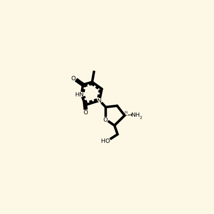 Cc1cn(C2C[C@H](N)C(CO)O2)c(=O)[nH]c1=O